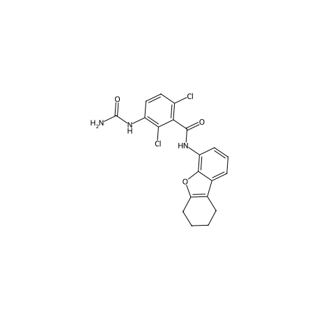 NC(=O)Nc1ccc(Cl)c(C(=O)Nc2cccc3c4c(oc23)CCCC4)c1Cl